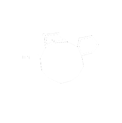 C[C@H]1CCCCc2ccccc2-c2c[nH]c(n2)[C@@H](N)C1